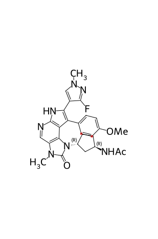 COc1ccc(-c2c(-c3cn(C)nc3F)[nH]c3ncc4c(c23)n([C@@H]2CC[C@@H](NC(C)=O)C2)c(=O)n4C)cc1